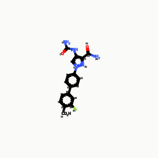 NC(=O)Nc1cn(-c2ccc(-c3ccc(C(=O)O)c(F)c3)cc2)nc1C(N)=O